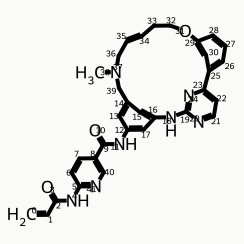 C=CC(=O)Nc1ccc(C(=O)Nc2cc3cc(c2)Nc2nccc(n2)-c2cccc(c2)OCC/C=C/CN(C)C3)cn1